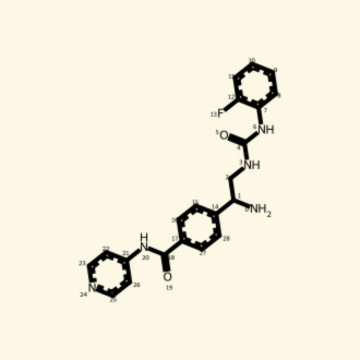 NC(CNC(=O)Nc1ccccc1F)c1ccc(C(=O)Nc2ccncc2)cc1